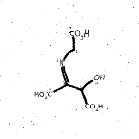 O=C(O)CN=C(C(=O)O)C(O)C(=O)O